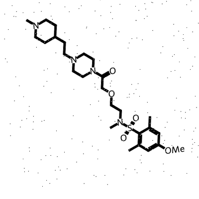 COc1cc(C)c(S(=O)(=O)N(C)CCOCC(=O)N2CCN(CCC3CCN(C)CC3)CC2)c(C)c1